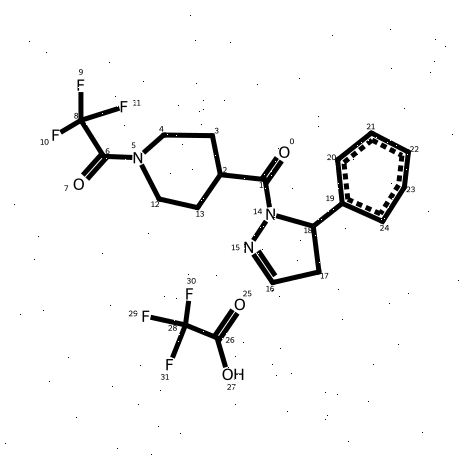 O=C(C1CCN(C(=O)C(F)(F)F)CC1)N1N=CCC1c1ccccc1.O=C(O)C(F)(F)F